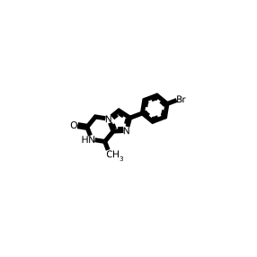 CC1NC(=O)Cn2cc(-c3ccc(Br)cc3)nc21